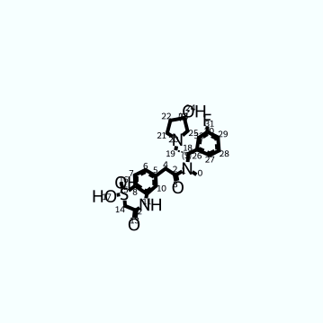 CN(C(=O)Cc1ccc2c(c1)NC(=O)CS2(O)O)[C@H](CN1CC[C@H](O)C1)c1cccc(F)c1